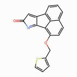 O=C1C=C2C(=N1)c1c(OCc3cccs3)ccc3cccc2c13